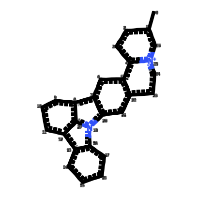 Cc1ccc2c3cc4c5cccc6c7ccccc7n(c4cc3cc[n+]2c1)c65